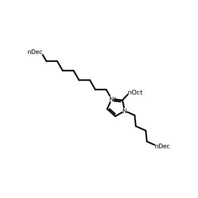 CCCCCCCCCCCCCCCCCC[n+]1ccn(CCCCCCCCCCCCCC)c1CCCCCCCC